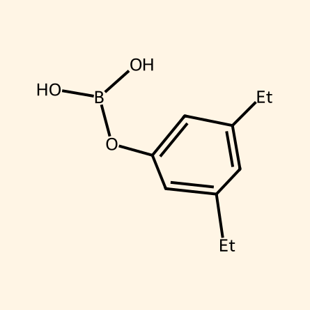 CCc1cc(CC)cc(OB(O)O)c1